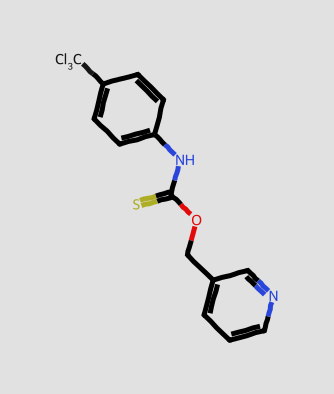 S=C(Nc1ccc(C(Cl)(Cl)Cl)cc1)OCc1cccnc1